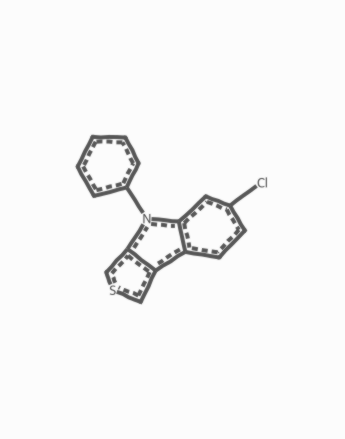 Clc1ccc2c3cscc3n(-c3ccccc3)c2c1